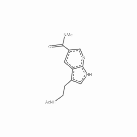 CNC(=O)c1cnc2[nH]cc(CCNC(C)=O)c2c1